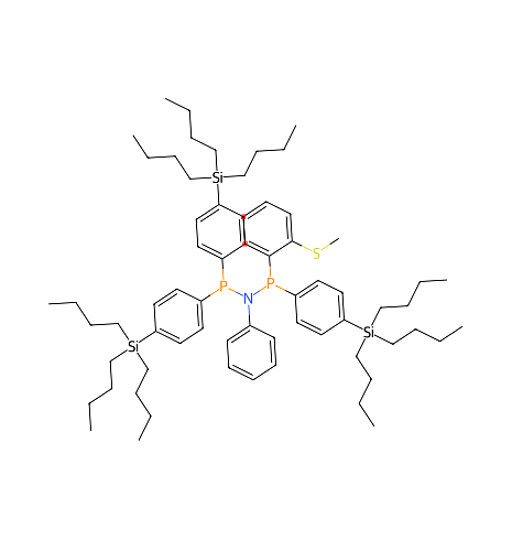 CCCC[Si](CCCC)(CCCC)c1ccc(P(c2ccc([Si](CCCC)(CCCC)CCCC)cc2)N(c2ccccc2)P(c2ccc([Si](CCCC)(CCCC)CCCC)cc2)c2ccccc2SC)cc1